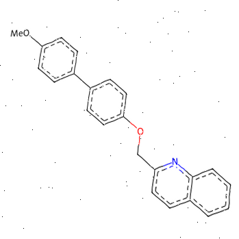 COc1ccc(-c2[c]cc(OCc3ccc4ccccc4n3)cc2)cc1